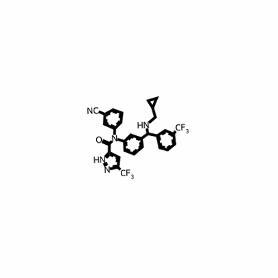 N#Cc1cccc(N(C(=O)c2cc(C(F)(F)F)n[nH]2)c2cccc(C(NCC3CC3)c3cccc(C(F)(F)F)c3)c2)c1